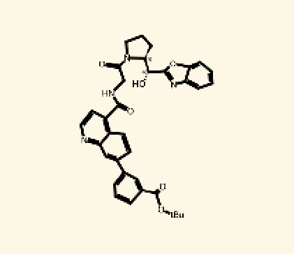 CC(C)(C)OC(=O)c1cccc(-c2ccc3c(C(=O)NCC(=O)N4CCC[C@H]4[C@@H](O)c4nc5ccccc5o4)ccnc3c2)c1